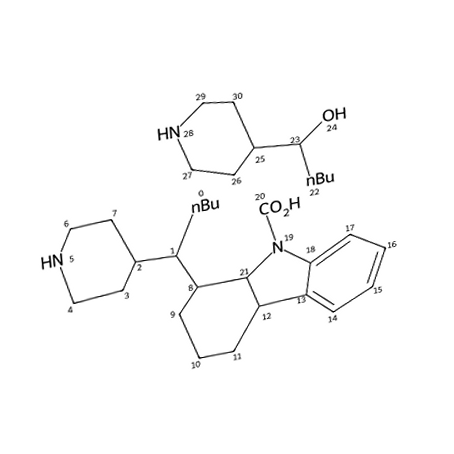 CCCCC(C1CCNCC1)C1CCCC2c3ccccc3N(C(=O)O)C21.CCCCC(O)C1CCNCC1